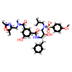 COc1ccc(S(=O)(=O)N(CC(C)C)C[C@@H](O)[C@H](Cc2ccccc2)NC(=O)c2cc(O)cc(C(=O)N(C)Cc3nc(C)oc3C)c2)cc1